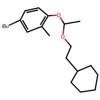 CCC(C)c1ccc(OC(C)OCCC2CCCCC2)c(C)c1